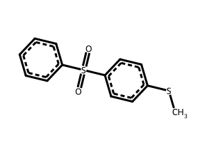 CSc1ccc(S(=O)(=O)c2ccccc2)cc1